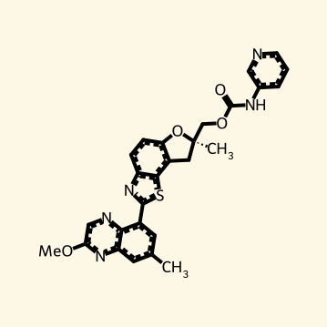 COc1cnc2c(-c3nc4ccc5c(c4s3)C[C@](C)(COC(=O)Nc3cccnc3)O5)cc(C)cc2n1